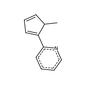 CC1C=CC=C1c1ccccn1